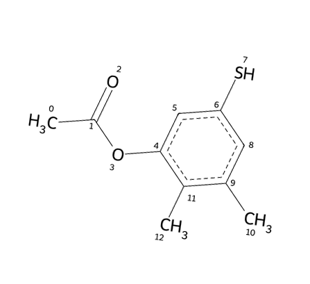 CC(=O)Oc1cc(S)cc(C)c1C